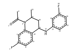 CC(=O)N1c2cc(F)ccc2C(Nc2cccc(F)c2)CC1C